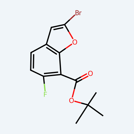 CC(C)(C)OC(=O)c1c(F)ccc2cc(Br)oc12